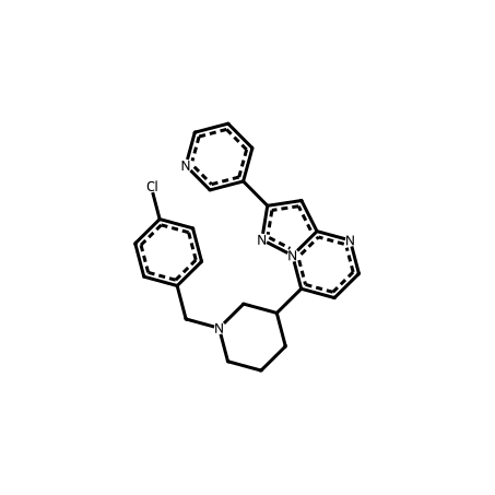 Clc1ccc(CN2CCCC(c3ccnc4cc(-c5cccnc5)nn34)C2)cc1